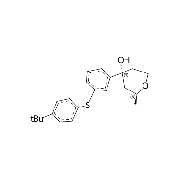 C[C@H]1C[C@@](O)(c2cccc(Sc3ccc(C(C)(C)C)cc3)c2)CCO1